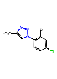 CCc1cc(Cl)ccc1-n1cc(C(=O)O)nn1